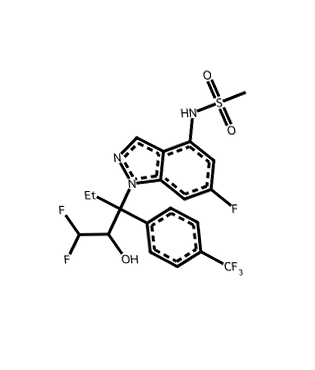 CCC(c1ccc(C(F)(F)F)cc1)(C(O)C(F)F)n1ncc2c(NS(C)(=O)=O)cc(F)cc21